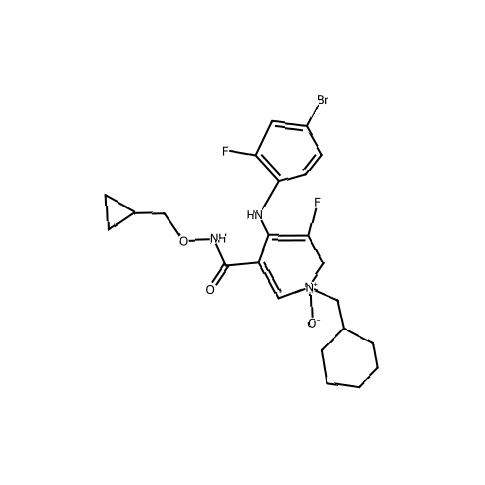 O=C(NOCC1CC1)C1=C[N+]([O-])(CC2CCCCC2)CC(F)=C1Nc1ccc(Br)cc1F